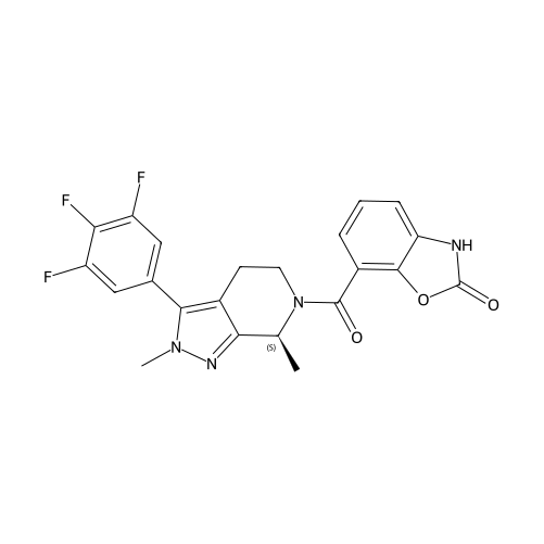 C[C@H]1c2nn(C)c(-c3cc(F)c(F)c(F)c3)c2CCN1C(=O)c1cccc2[nH]c(=O)oc12